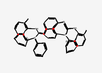 Cc1cccc(P)c1N/C(=N/c1cccc(/N=C(\Nc2c(C)cccc2P)P(c2ccccc2)c2ccccc2)c1)P(c1ccccc1)c1ccccc1